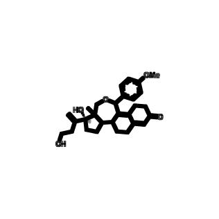 C=C(CCO)[C@]1(O)CCC2C3CCC4=CC(=O)CCC4=C3C(c3ccc(OC)cc3)OCC21C